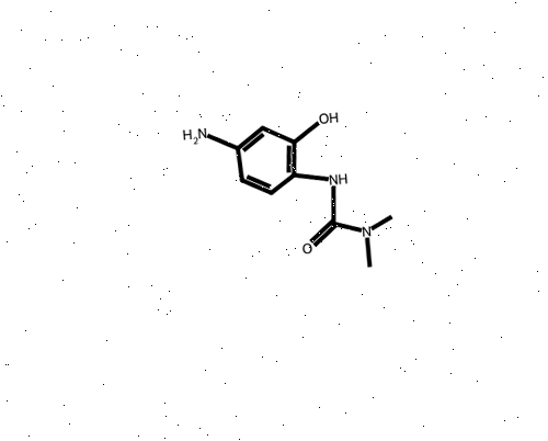 CN(C)C(=O)Nc1ccc(N)cc1O